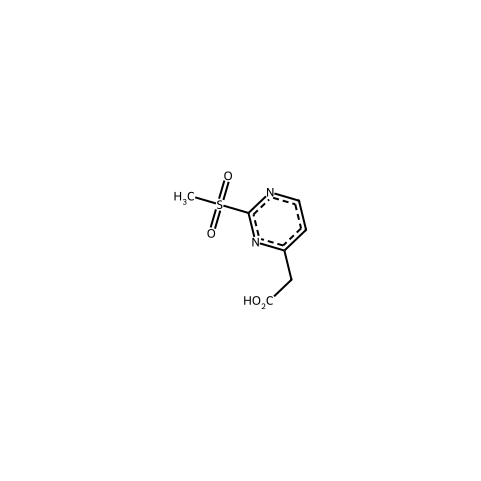 CS(=O)(=O)c1nccc(CC(=O)O)n1